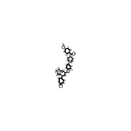 COc1ccc(C(=O)N2CCN(c3ccc(OC(CCc4ccc(Cl)cc4)Cn4ccnc4)cc3)CC2)cc1